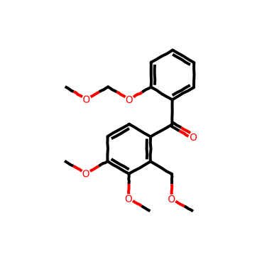 COCOc1ccccc1C(=O)c1ccc(OC)c(OC)c1COC